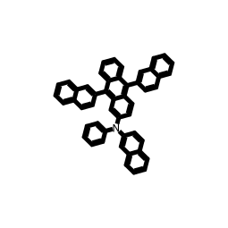 c1ccc(N(c2ccc3ccccc3c2)c2ccc3c(-c4ccc5ccccc5c4)c4ccccc4c(-c4ccc5ccccc5c4)c3c2)cc1